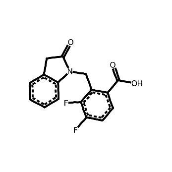 O=C(O)c1ccc(F)c(F)c1CN1C(=O)Cc2ccccc21